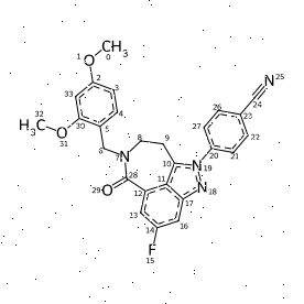 COc1ccc(CN2CCc3c4c(cc(F)cc4nn3-c3ccc(C#N)cc3)C2=O)c(OC)c1